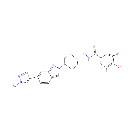 CC(C)(C)n1cc(-c2ccc3cn(C4CCC(CNC(=O)c5cc(F)c(O)c(F)c5)CC4)nc3c2)cn1